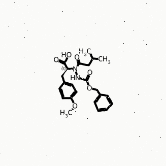 COc1ccc(C[C@@H](C(=O)O)N(NC(=O)OCc2ccccc2)C(=O)CC(C)C)cc1